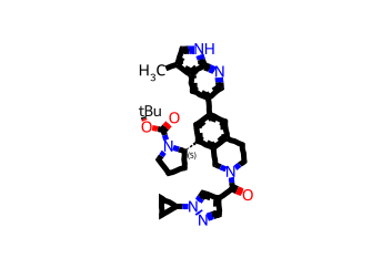 Cc1c[nH]c2ncc(-c3cc4c(c([C@@H]5CCCN5C(=O)OC(C)(C)C)c3)CN(C(=O)c3cnn(C5CC5)c3)CC4)cc12